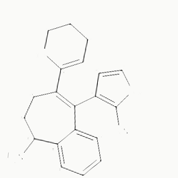 N#Cc1sccc1C1=C(C2=CCCCS2)CCC(N)c2ccccc21